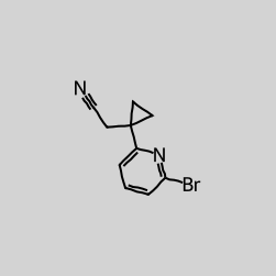 N#CCC1(c2cccc(Br)n2)CC1